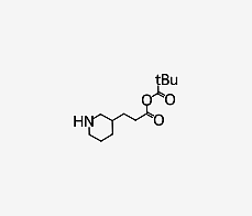 CC(C)(C)C(=O)OC(=O)CCC1CCCNC1